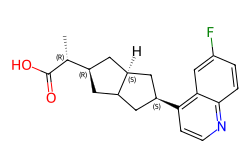 C[C@@H](C(=O)O)[C@@H]1CC2C[C@H](c3ccnc4ccc(F)cc34)C[C@@H]2C1